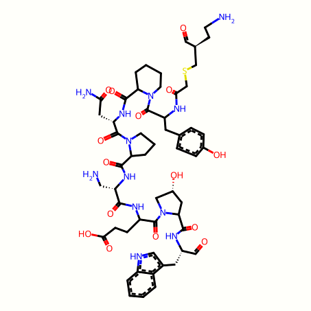 NCC[C@H](C=O)CSCC(=O)NC(Cc1ccc(O)cc1)C(=O)N1CCCCC1C(=O)N[C@@H](CC(N)=O)C(=O)N1CCCC1C(=O)N[C@@H](CN)C(=O)NC(CCC(=O)O)C(=O)N1C[C@H](O)CC1C(=O)N[C@H](C=O)Cc1c[nH]c2ccccc12